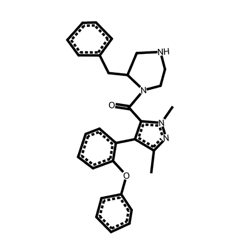 Cc1nn(C)c(C(=O)N2CCNCC2Cc2ccccc2)c1-c1ccccc1Oc1ccccc1